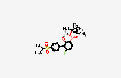 COc1c(B2OC(C)(C)C(C)(C)O2)ccc(F)c1-c1ccc(S(=O)(=O)C(C)C)cc1